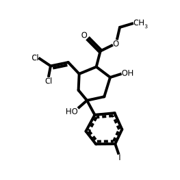 CCOC(=O)C1C(O)CC(O)(c2ccc(I)cc2)CC1C=C(Cl)Cl